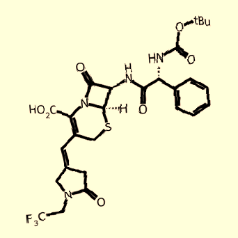 CC(C)(C)OC(=O)N[C@@H](C(=O)N[C@@H]1C(=O)N2C(C(=O)O)=C(/C=C3\CC(=O)N(CC(F)(F)F)C3)CS[C@H]12)c1ccccc1